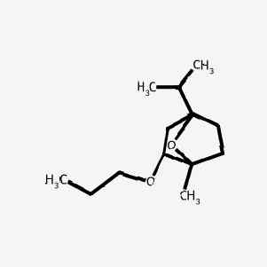 CCCOC1CC2(C(C)C)CCC1(C)O2